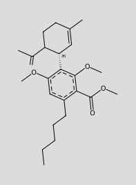 C=C(C)C1CCC(C)=C[C@@H]1c1c(OC)cc(CCCCC)c(C(=O)OC)c1OC